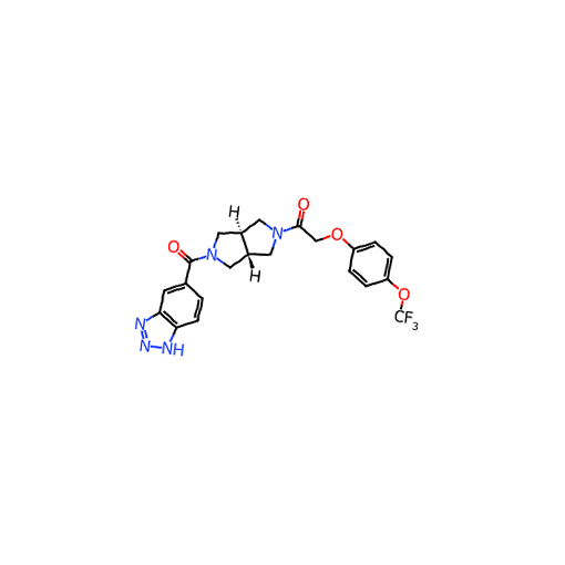 O=C(COc1ccc(OC(F)(F)F)cc1)N1C[C@@H]2CN(C(=O)c3ccc4[nH]nnc4c3)C[C@H]2C1